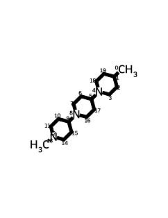 CC1CCN(C2CCN(C3CCN(C)CC3)CC2)CC1